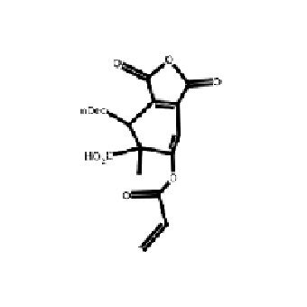 C=CC(=O)OC1=CC2=C(C(=O)OC2=O)C(CCCCCCCCCC)C1(C)C(=O)O